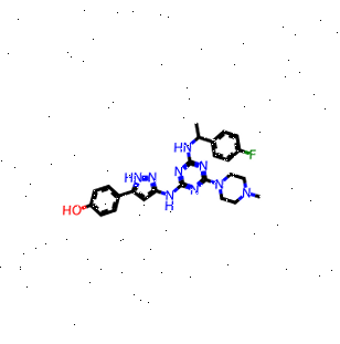 CC(Nc1nc(Nc2cc(-c3ccc(O)cc3)[nH]n2)nc(N2CCN(C)CC2)n1)c1ccc(F)cc1